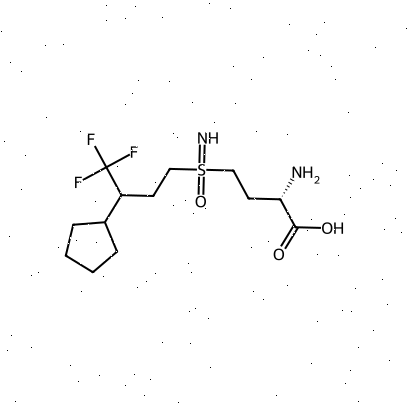 N=S(=O)(CCC(C1CCCC1)C(F)(F)F)CC[C@H](N)C(=O)O